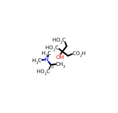 C[C@@H](C(=O)O)N(C)C.O=C(O)CC(O)(CC(=O)O)C(=O)O